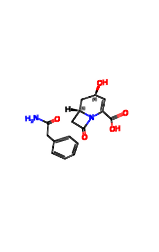 NC(=O)Cc1ccccc1.O=C(O)C1=C[C@H](O)C[C@H]2CC(=O)N12